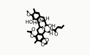 C/C=C/C(=O)NC[C@H]1c2c(c(OC(C)=O)c(C)c3c2OCO3)CC2[C@H]3c4c(cc(C)c(OC)c4O)C[C@@H](C(O)N21)N3C